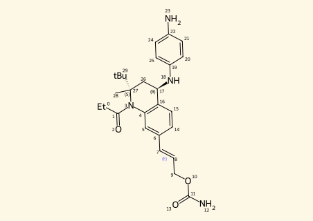 CCC(=O)N1c2cc(/C=C/COC(N)=O)ccc2[C@H](Nc2ccc(N)cc2)C[C@@]1(C)C(C)(C)C